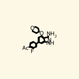 CC(=O)c1ccc(-c2cc(OC3CCOCC3)c3c(N)n[nH]c3c2)cc1F